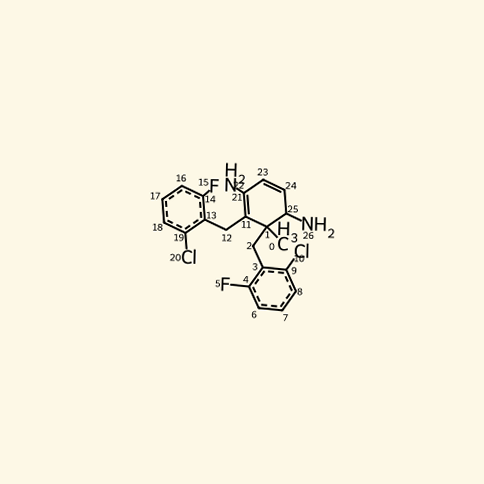 CC1(Cc2c(F)cccc2Cl)C(Cc2c(F)cccc2Cl)=C(N)C=CC1N